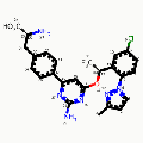 Cc1ccn(-c2ccc(Cl)cc2[C@@H](Oc2cc(-c3ccc(C[C@H](N)C(=O)O)cc3)nc(N)n2)C(F)(F)F)n1